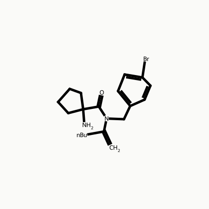 C=C(CCCC)N(Cc1ccc(Br)cc1)C(=O)C1(N)CCCC1